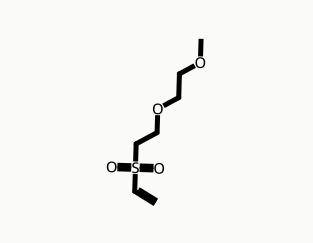 C=CS(=O)(=O)CCOCCOC